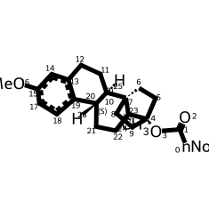 CCCCCCCCCC(=O)O[C@]12CC[C@]3(CC1)[C@@H]1CCc4cc(OC)ccc4[C@H]1CC[C@]23C